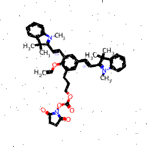 C=COc1c(/C=C/C2=[N+](C)c3ccccc3C2(C)C)cc(/C=C/C2=[N+](C)c3ccccc3C2(C)C)cc1CCCOC(=O)ON1C(=O)CCC1=O